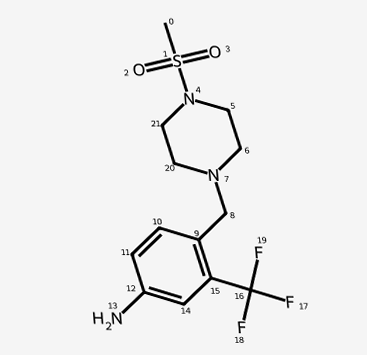 CS(=O)(=O)N1CCN(Cc2ccc(N)cc2C(F)(F)F)CC1